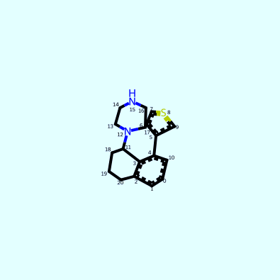 c1cc2c(c(-c3ccsc3)c1)C(N1CCNCC1)CCC2